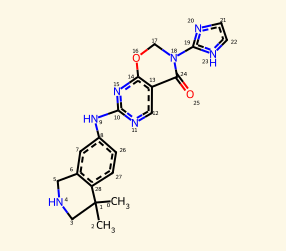 CC1(C)CNCc2cc(Nc3ncc4c(n3)OCN(c3ncc[nH]3)C4=O)ccc21